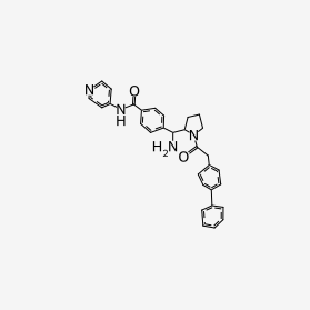 NC(c1ccc(C(=O)Nc2ccncc2)cc1)C1CCCN1C(=O)Cc1ccc(-c2ccccc2)cc1